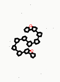 c1cc(-c2cccc(-c3cccc(-c4cccc(-c5ccc6oc7ccccc7c6c5)c4)c3)c2)cc(-c2cccc(-c3cccc(-c4cccc(-c5ccc6oc7ccccc7c6c5)c4)c3)c2)c1